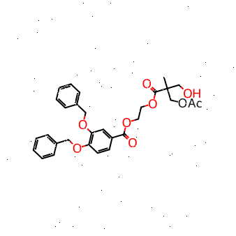 CC(=O)OCC(C)(CO)C(=O)OCCOC(=O)c1ccc(OCc2ccccc2)c(OCc2ccccc2)c1